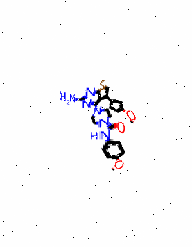 COc1ccc(NC(=O)N2CCN(c3nc(N)nc4scc(-c5ccc(OC)cc5)c34)CC2)cc1